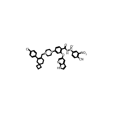 N#Cc1ccc([S+]([O-])NC(=O)c2ccc(N3CCN(CC4=C(c5ccc(Cl)cc5)CC5(CCC5)CC4)CC3)cc2Oc2cnc3[nH]ccc3c2)cc1[N+](=O)[O-]